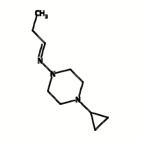 CC/C=N/N1CCN(C2CC2)CC1